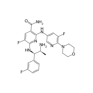 C[C@H](N)[C@H](Nc1nc(Nc2cnc(N3CCOCC3)c(F)c2)c(C(N)=O)cc1F)c1cccc(F)c1